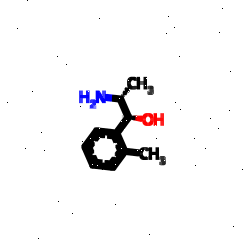 Cc1ccccc1[C@H](O)[C@@H](C)N